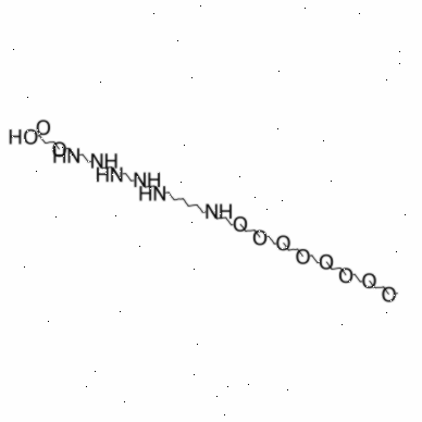 COCCOCCOCCOCCOCCOCCOCCOCCCNCCCCCCNCCNCCNCCNCCNCOCCC(=O)O